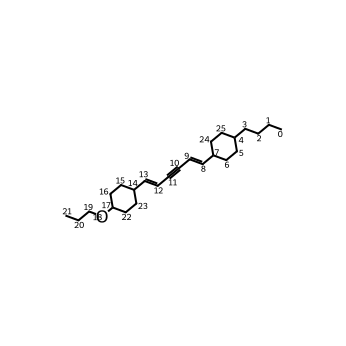 CCCCC1CCC(C=CC#CC=CC2CCC(OCCC)CC2)CC1